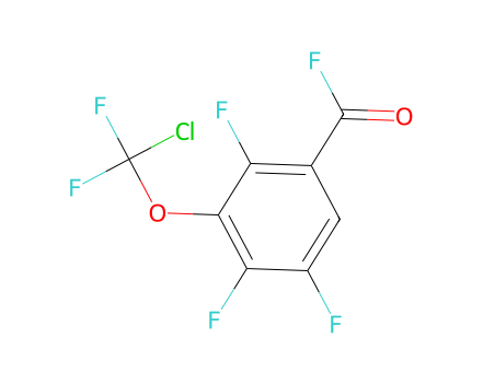 O=C(F)c1cc(F)c(F)c(OC(F)(F)Cl)c1F